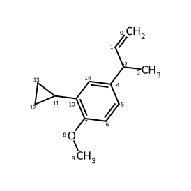 C=C[C](C)c1ccc(OC)c(C2CC2)c1